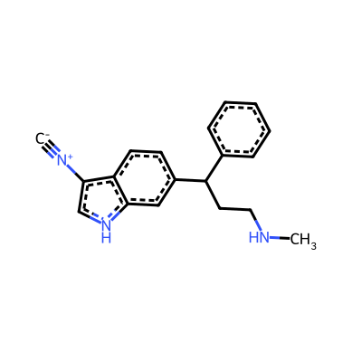 [C-]#[N+]c1c[nH]c2cc(C(CCNC)c3ccccc3)ccc12